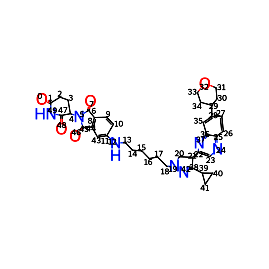 O=C1CCC(N2C(=O)c3ccc(NCCCCCCN4CC(c5cnc6ccc(C7CCOCC7)cc6n5)C(C5CC5)=N4)cc3C2=O)C(=O)N1